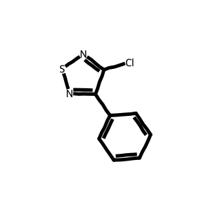 Clc1nsnc1-c1ccccc1